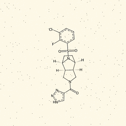 O=C(c1c[nH]nn1)N1C[C@@H]2[C@H](C1)[C@@H]1CC[C@H]2N1S(=O)(=O)c1cccc(Cl)c1F